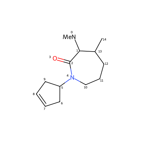 CNC1C(=O)N(C2CC=CC2)CCCC1C